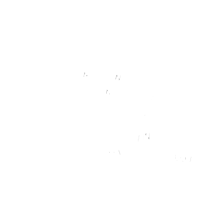 O=C(O)CNC(=O)c1c(O)c2cccc(C3CCCCC3)c2c2ncnn12